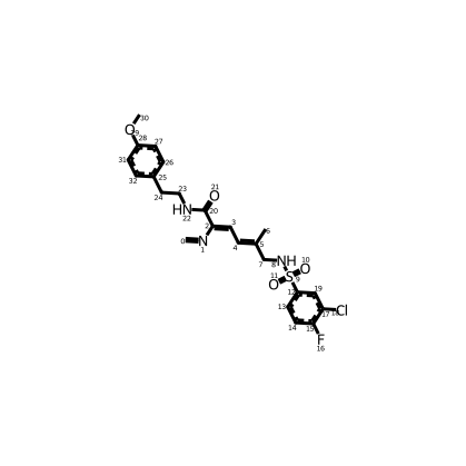 C=N/C(=C\C=C(/C)CNS(=O)(=O)c1ccc(F)c(Cl)c1)C(=O)NCCc1ccc(OC)cc1